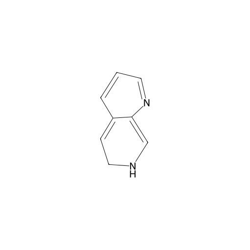 C1=c2cccnc2=CNC1